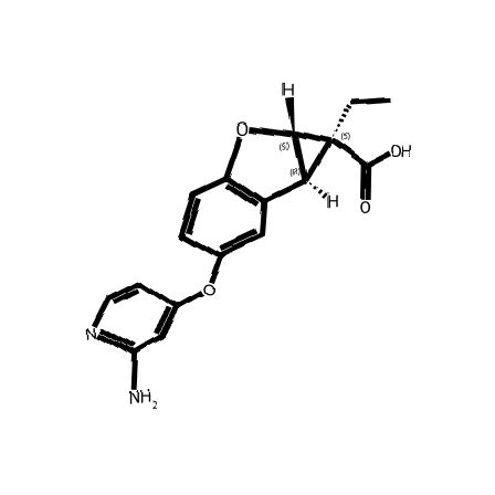 CC[C@@]1(C(=O)O)[C@H]2Oc3ccc(Oc4ccnc(N)c4)cc3[C@@H]21